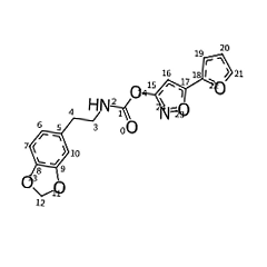 O=C(NCCc1ccc2c(c1)OCO2)Oc1cc(-c2ccco2)on1